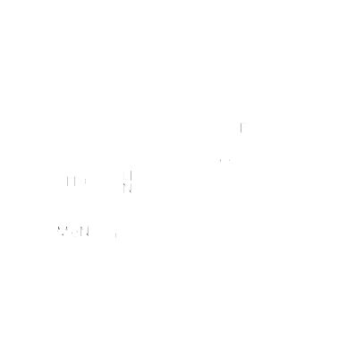 CNC(=O)[C@H](C)NCc1ccc(OCc2ccccc2F)cc1